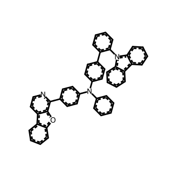 c1ccc(N(c2ccc(-c3ccccc3-n3c4ccccc4c4ccccc43)cc2)c2ccc(-c3nccc4c3oc3ccccc34)cc2)cc1